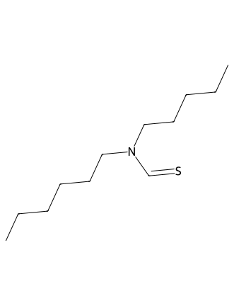 CCCCCCN(C=S)CCCCC